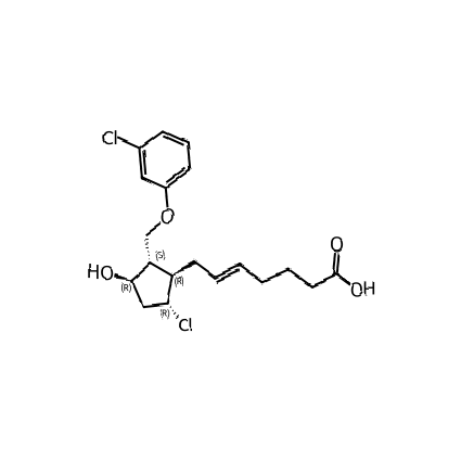 O=C(O)CCCC=CC[C@@H]1[C@@H](COc2cccc(Cl)c2)[C@H](O)C[C@H]1Cl